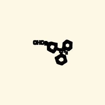 O=[CH][Ru].c1ccc([PH2](c2ccccc2)c2ccccc2)cc1